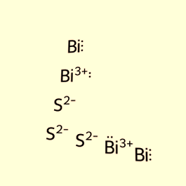 [Bi+3].[Bi+3].[Bi].[Bi].[S-2].[S-2].[S-2]